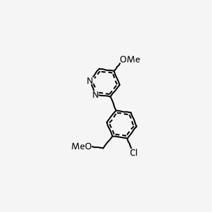 COCc1cc(-c2cc(OC)cnn2)ccc1Cl